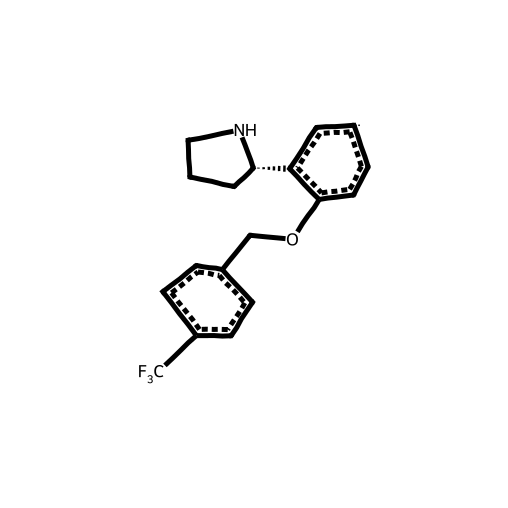 FC(F)(F)c1ccc(COc2cc[c]cc2[C@@H]2CCCN2)cc1